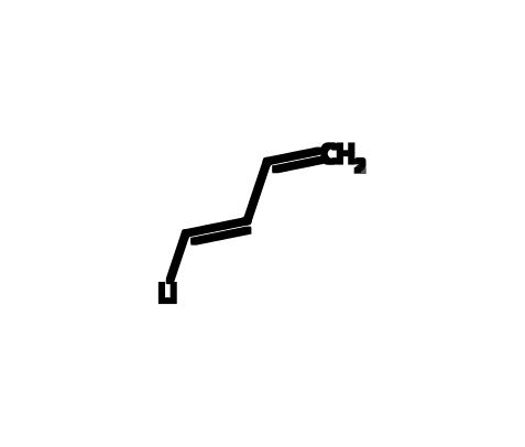 [Li]/[CH]=C/C=C